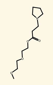 COCCOCCOC(=O)CCN1CCCC1